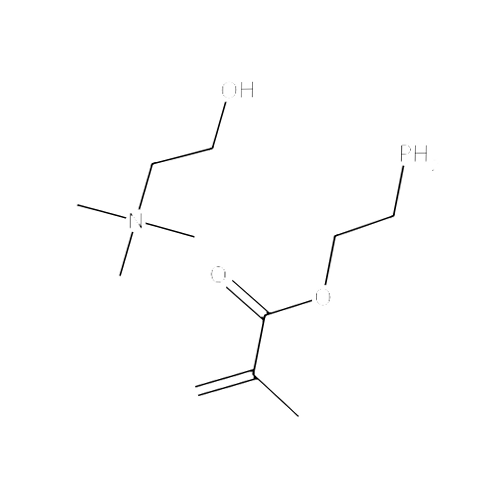 C=C(C)C(=O)OCCP.C[N+](C)(C)CCO